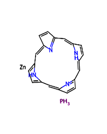 C1=Cc2cc3ccc(cc4nc(cc5ccc(cc1n2)[nH]5)C=C4)[nH]3.P.[Zn]